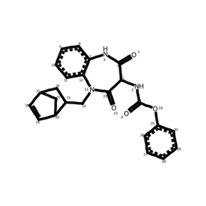 O=C(NC1C(=O)Nc2ccccc2N(CC2CC3C=CC2C3)C1=O)Oc1ccccc1